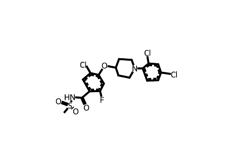 CS(=O)(=O)NC(=O)c1cc(Cl)c(OC2CCN(c3ccc(Cl)cc3Cl)CC2)cc1F